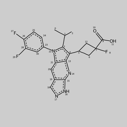 CC(C)c1c(C2CC(F)(C(=O)O)C2)c2nc3[nH]ncc3cc2n1-c1ccc(F)c(F)c1